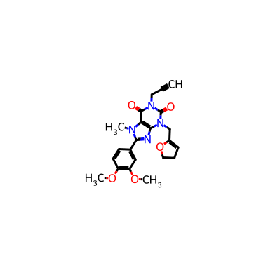 C#CCn1c(=O)c2c(nc(-c3ccc(OC)c(OC)c3)n2C)n(CC2=CCCO2)c1=O